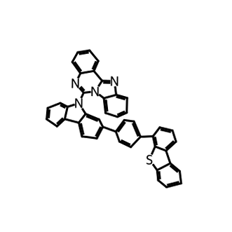 c1ccc2c(c1)nc(-n1c3ccccc3c3ccc(-c4ccc(-c5cccc6c5sc5ccccc56)cc4)cc31)n1c3ccccc3nc21